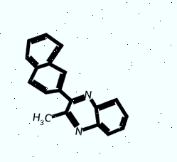 Cc1nc2ccccc2nc1-c1ccc2ccccc2c1